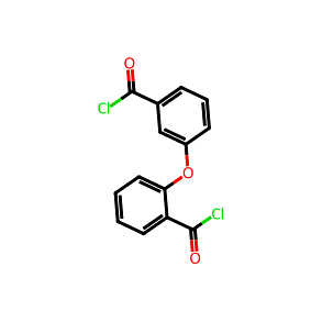 O=C(Cl)c1cccc(Oc2ccccc2C(=O)Cl)c1